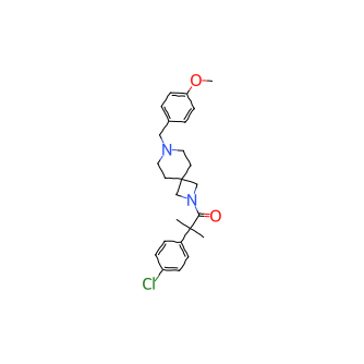 COc1ccc(CN2CCC3(CC2)CN(C(=O)C(C)(C)c2ccc(Cl)cc2)C3)cc1